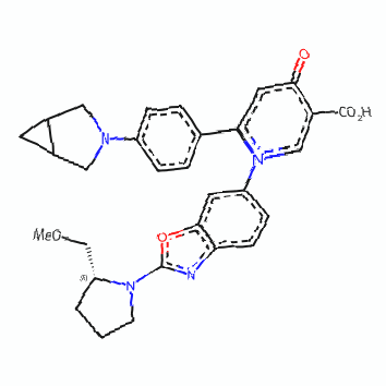 COC[C@H]1CCCN1c1nc2ccc(-n3cc(C(=O)O)c(=O)cc3-c3ccc(N4CC5CC5C4)cc3)cc2o1